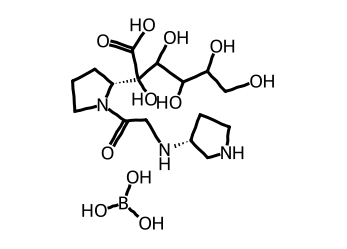 O=C(CN[C@@H]1CCNC1)N1CCC[C@@H]1C(O)(C(=O)O)C(O)C(O)C(O)CO.OB(O)O